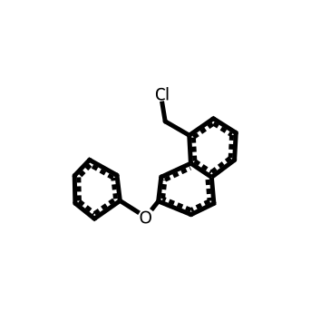 ClCc1cccc2ccc(Oc3ccccc3)cc12